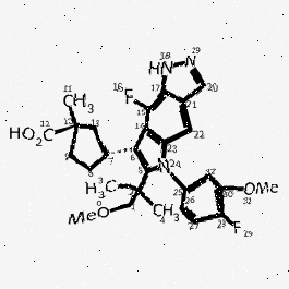 COCC(C)(C)c1c([C@@H]2CC[C@@](C)(C(=O)O)C2)c2c(F)c3[nH]ncc3cc2n1-c1ccc(F)c(OC)c1